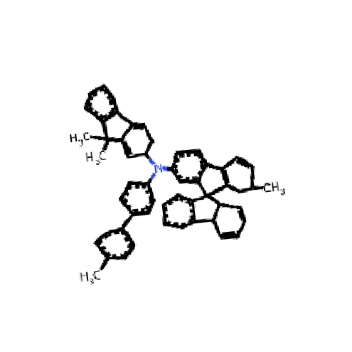 Cc1ccc(-c2ccc(N(c3ccc4c(c3)C3(C5=C4C=CC(C)C5)c4ccccc4C4C=CC=CC43)C3C=C4C(=CC3)c3ccccc3C4(C)C)cc2)cc1